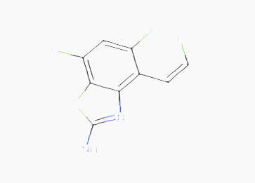 Nc1nc2c(/C=C\F)c(F)cc(F)c2s1